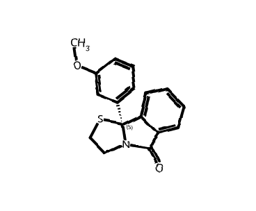 COc1cccc([C@@]23SCCN2C(=O)c2ccccc23)c1